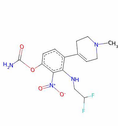 CN1CC=C(c2ccc(OC(N)=O)c([N+](=O)[O-])c2NCC(F)F)CC1